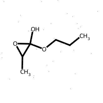 CCCOC1(O)OC1C